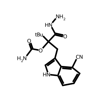 CC(C)(C)C(Cc1c[nH]c2cccc(C#N)c12)(OC(N)=O)C(=O)NN